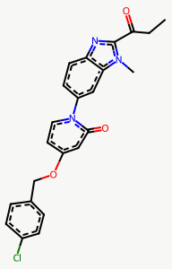 CCC(=O)c1nc2ccc(-n3ccc(OCc4ccc(Cl)cc4)cc3=O)cc2n1C